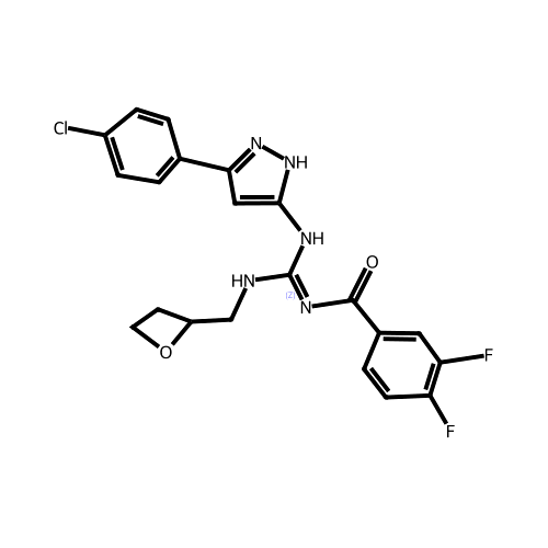 O=C(/N=C(/NCC1CCO1)Nc1cc(-c2ccc(Cl)cc2)n[nH]1)c1ccc(F)c(F)c1